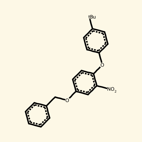 CC(C)(C)c1ccc(Oc2ccc(OCc3ccccc3)cc2[N+](=O)[O-])cc1